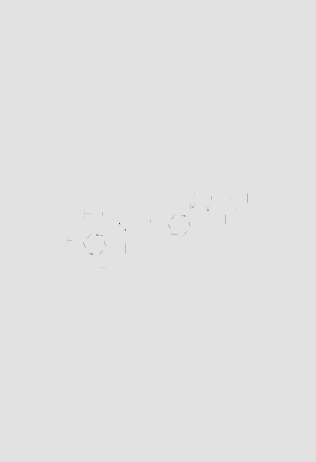 CC(c1cc(F)cc(F)c1Cl)N1CCC2(CCc3ccc([C@H](O)[C@H](C)C(=O)O)c(F)c3O2)CC1